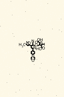 Cc1cc(-c2cc(-c3ccc(N4CCOCC4)cc3)nc(OCc3c(C(=O)O)sc(I)c3C(=O)O)c2C#N)on1